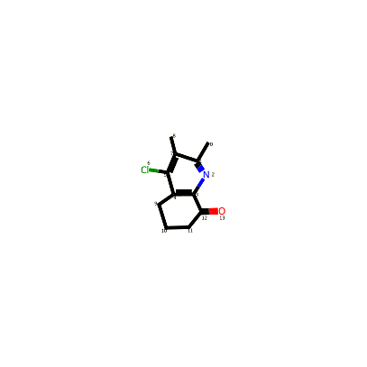 Cc1nc2c(c(Cl)c1C)CCCC2=O